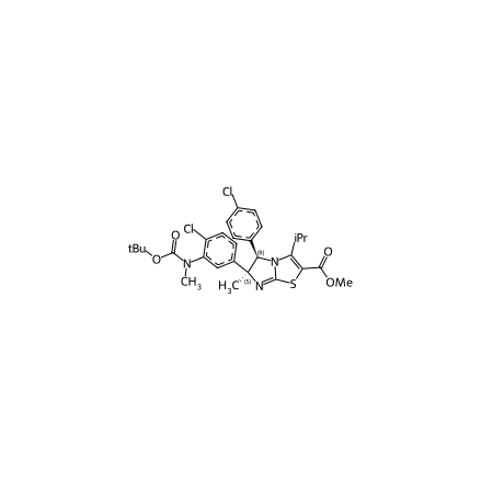 COC(=O)C1=C(C(C)C)N2C(=N[C@@](C)(c3ccc(Cl)c(N(C)C(=O)OC(C)(C)C)c3)[C@H]2c2ccc(Cl)cc2)S1